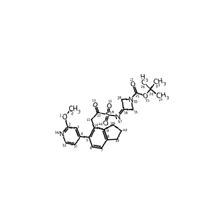 COc1cc(-c2ccc3c(c2CC(=O)S(=O)(=O)N=C2CN(C(=O)OC(C)(C)C)C2)CCC3)ccn1